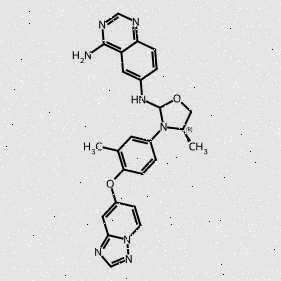 Cc1cc(N2C(Nc3ccc4ncnc(N)c4c3)OC[C@H]2C)ccc1Oc1ccn2ncnc2c1